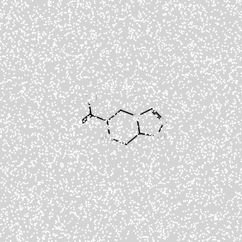 NC(=O)C1CN2C=NNC2[C]N1